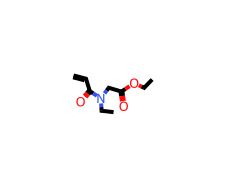 C=CC(=O)N(CC)CC(=O)OCC